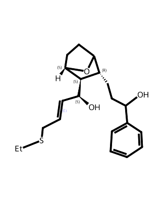 CCSC/C=C/[C@H](O)[C@H]1[C@@H]2CCC(O2)[C@@H]1CCC(O)c1ccccc1